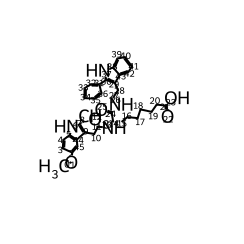 COc1ccc2[nH]c(C)c(CC(=O)N[C@@H](CCCCCCC(=O)O)C(=O)NCCc3c(-c4ccccc4)[nH]c4ccccc34)c2c1